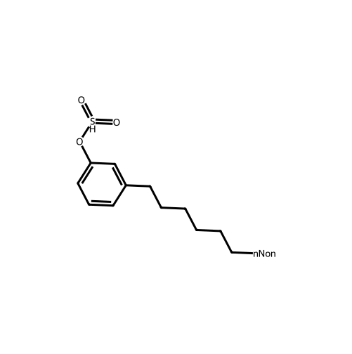 CCCCCCCCCCCCCCCc1cccc(O[SH](=O)=O)c1